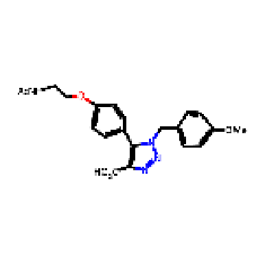 COc1ccc(Cn2nnc(C(=O)O)c2-c2ccc(OCCNC(C)=O)cc2)cc1